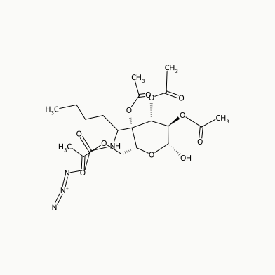 CCCCC(NC(=O)CN=[N+]=[N-])[C@@]1(OC(C)=O)[C@H](OC(C)=O)[C@@H](OC(C)=O)[C@H](O)O[C@@H]1COC(C)=O